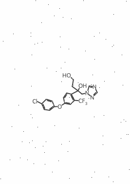 OCCC(O)(Cn1cncn1)c1ccc(Oc2ccc(Cl)cc2)cc1C(F)(F)F